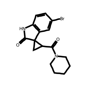 O=C(C1CC12C(=O)Nc1ccc(Br)cc12)N1CCCCC1